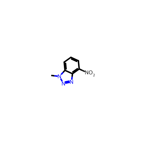 Cn1nnc2c([N+](=O)[O-])cccc21